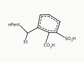 CCCCCC(CC)c1cccc(S(=O)(=O)O)c1C(=O)O